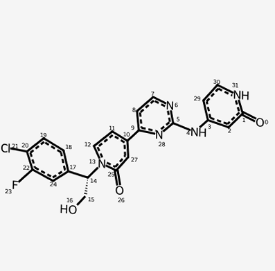 O=c1cc(Nc2nccc(-c3ccn([C@H](CO)c4ccc(Cl)c(F)c4)c(=O)c3)n2)cc[nH]1